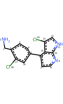 NCc1ccc(-c2ccnc3[nH]cc(Cl)c23)cc1Cl